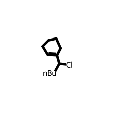 CCCCC(Cl)C1=CCCCC1